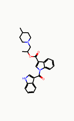 CC1CCN(CC(C)OC(=O)c2cn(C(=O)c3c[nH]c4ccccc34)c3ccccc23)CC1